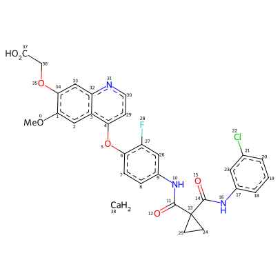 COc1cc2c(Oc3ccc(NC(=O)C4(C(=O)Nc5cccc(Cl)c5)CC4)cc3F)ccnc2cc1OCC(=O)O.[CaH2]